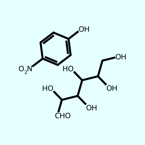 O=CC(O)C(O)C(O)C(O)CO.O=[N+]([O-])c1ccc(O)cc1